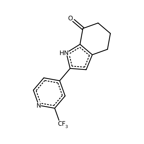 O=C1CCCc2cc(-c3ccnc(C(F)(F)F)c3)[nH]c21